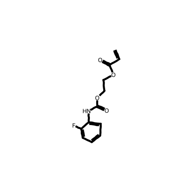 C=CC(=O)OCCOC(=O)Nc1ccccc1F